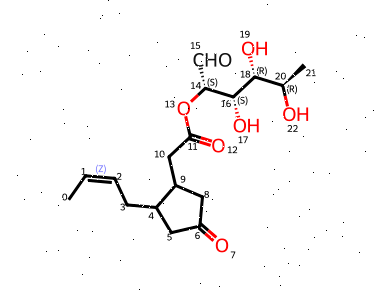 C/C=C\CC1CC(=O)CC1CC(=O)O[C@H](C=O)[C@@H](O)[C@H](O)[C@@H](C)O